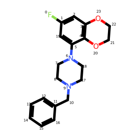 Fc1cc2c(c(N3CCN(Cc4ccccc4)CC3)c1)OCCO2